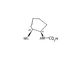 N#C[C@H]1CCCC[C@H]1NC(=O)O